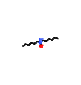 CCCCCC[NH+]([O-])CCCCCC